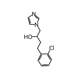 OC(CCc1ccccc1Cl)Cn1ccnc1